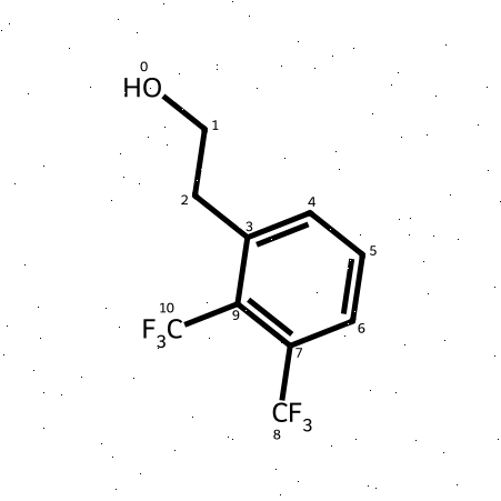 OCCc1cccc(C(F)(F)F)c1C(F)(F)F